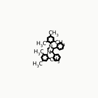 Cc1cc(C)c(N2CN(c3c(C)cc(C)cc3C)C(c3ccccc3)C2c2ccccc2)c(C)c1